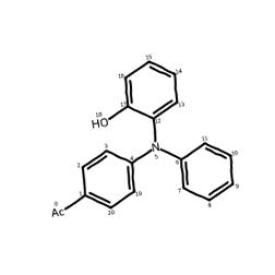 CC(=O)c1ccc(N(c2ccccc2)c2ccccc2O)cc1